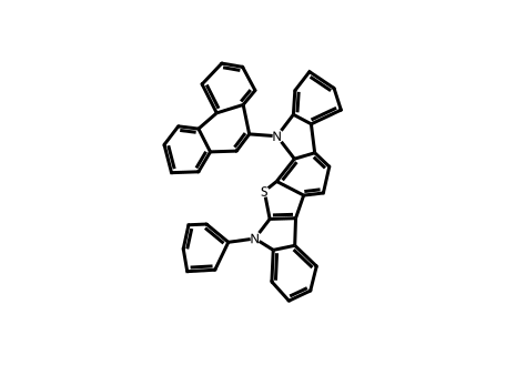 c1ccc(-n2c3ccccc3c3c4ccc5c6ccccc6n(-c6cc7ccccc7c7ccccc67)c5c4sc32)cc1